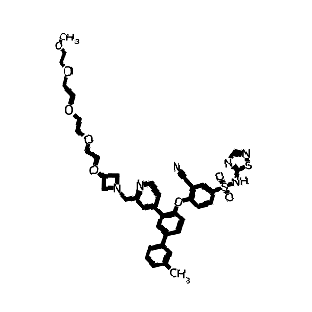 COCCOCCOCCOCCOC1CN(Cc2cc(-c3cc(-c4cccc(C)c4)ccc3Oc3ccc(S(=O)(=O)Nc4ncns4)cc3C#N)ccn2)C1